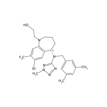 CCc1cc2c(cc1C(F)(F)F)N(CCO)CCC[C@@H]2N(Cc1cc(C)cc(C)c1)c1nnn(C)n1